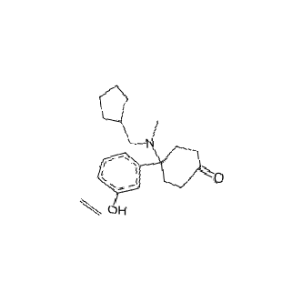 C=C.CN(CC1CCCC1)C1(c2cccc(O)c2)CCC(=O)CC1